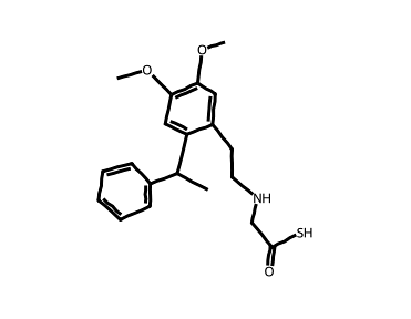 COc1cc(CCNCC(=O)S)c(C(C)c2ccccc2)cc1OC